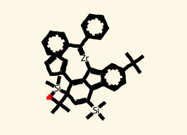 CC(C)(C)c1ccc2c(c1)=[C]([Zr]=[C](c1ccccc1)c1ccccc1)C1=C(C3=CC=CC3)C(C(C)(C)C)([Si](C)(C)C)C=C([Si](C)(C)C)C=21